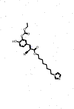 CCOC(=O)Oc1cc(/C=C(\C#N)C(=O)OCCCCCCCCn2ccnc2)ccc1O